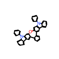 c1ccc(-n2c3ccccc3c3cc4c(cc32)Oc2cc3c(cc2-c2ccccc2-4)c2ccccc2n3-c2ccccc2)cc1